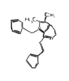 Cc1c(C)n(Cc2ccccc2)c2c(C=Cc3ccccc3)nccc12